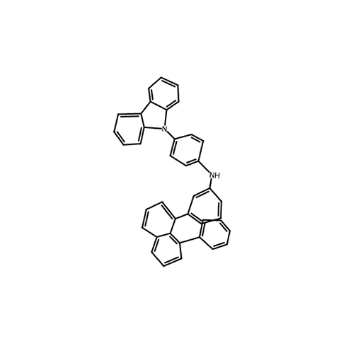 c1ccc(-c2cccc3cccc(-c4cccc(Nc5ccc(-n6c7ccccc7c7ccccc76)cc5)c4)c23)cc1